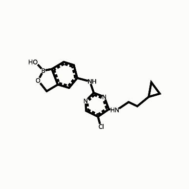 OB1OCc2cc(Nc3ncc(Cl)c(NCCC4CC4)n3)ccc21